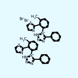 Cc1cccc(-[n+]2[nH]nnc2-c2ccccc2)c1-c1nccs1.Cc1cccc(-[n+]2[nH]nnc2-c2ccccc2)c1-c1nccs1.[Br-].[Br-]